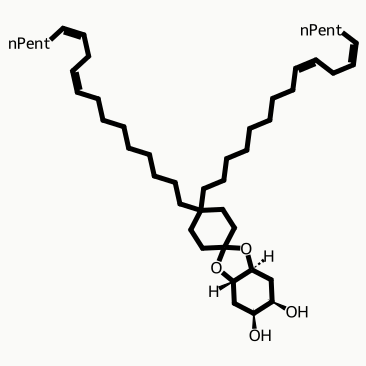 CCCCC/C=C\C/C=C\CCCCCCCCC1(CCCCCCCC/C=C\C/C=C\CCCCC)CCC2(CC1)O[C@H]1C[C@@H](O)[C@@H](O)C[C@@H]1O2